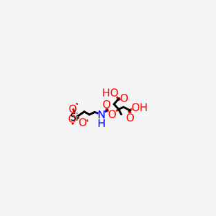 CO[Si](CCCNC(=O)OC(C)(CC(=O)O)CC(=O)O)(OC)OC